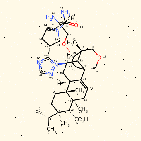 CC(C)[C@@H](C)[C@@]1(C)CC[C@]2(C)[C@H]3CC[C@@H]4[C@@]5(COC[C@@]4(C)[C@@H](OC[C@](C)(N)C(C)(C)C)[C@H](n4ncnc4[C@@H]4CCN(C(N)=O)C4)C5)C3=CC[C@@]2(C)[C@@H]1C(=O)O